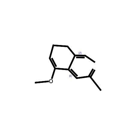 C=C(C)/C=C1/C(OC)=CCC/C1=C/C